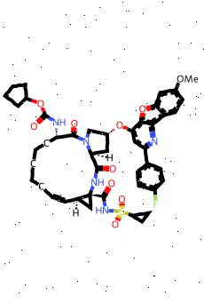 COc1ccc2c(c1)oc1c(O[C@@H]3C[C@H]4C(=O)N[C@]5(C(=O)NS(=O)(=O)C6CC6)C[C@H]5/C=C\CCCCC[C@H](NC(=O)OC5CCCC5)C(=O)N4C3)cc(-c3ccc(F)cc3)nc12